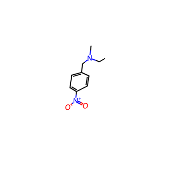 CCN(C)Cc1ccc([N+](=O)[O-])cc1